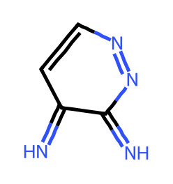 N=C1C=CN=NC1=N